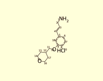 Cl.NC/C=C/c1cccc(OCC2CCOCC2)c1